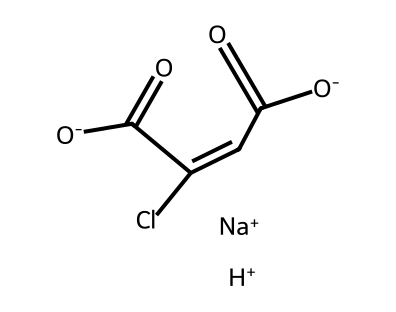 O=C([O-])/C=C(/Cl)C(=O)[O-].[H+].[Na+]